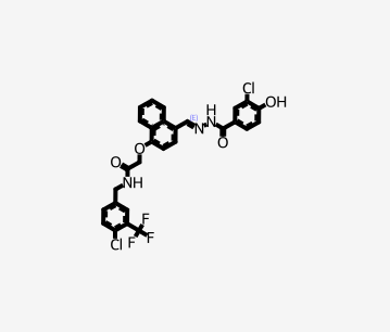 O=C(COc1ccc(/C=N/NC(=O)c2ccc(O)c(Cl)c2)c2ccccc12)NCc1ccc(Cl)c(C(F)(F)F)c1